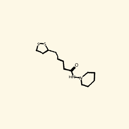 O=C(CCCCC1CCSS1)NN1CCCCC1